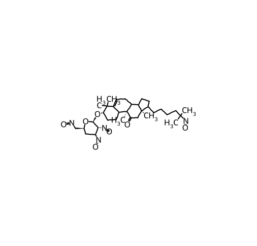 CC(C)(CCCCC1CCC2C3CC=C4C(CC[C@H](O[C@@H]5O[C@H](CN=O)C[C@H](N=O)[C@H]5N=O)C4(C)C)[C@]3(C)C(=O)C[C@]12C)N=O